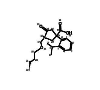 CC(C)c1ccccc1C1(C(=O)O)CC(=O)N(COCCSI)C1